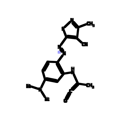 CCN(CC)c1ccc(/N=N/c2snc(C)c2C#N)c(NC(C)=C=O)c1